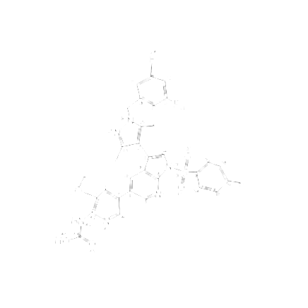 COc1cc(-c2cnc3c(c2)c(-c2c(C)nn(Cc4cc(F)cc(F)c4)c2C)cn3S(=O)(=O)c2ccc(C)cc2)cnc1NC(=O)O